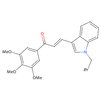 COc1cc(C(=O)/C=C/c2cn(CC(C)C)c3ccccc23)cc(OC)c1OC